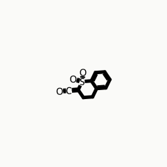 O=C=C1CCc2ccccc2S1(=O)=O